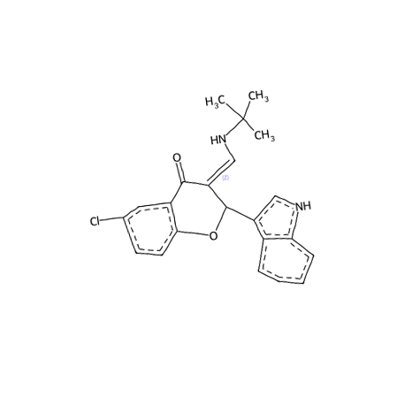 CC(C)(C)N/C=C1\C(=O)c2cc(Cl)ccc2OC1c1c[nH]c2ccccc12